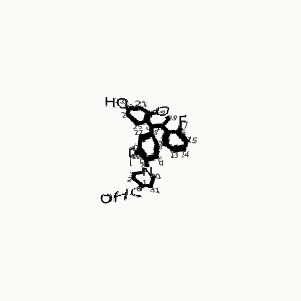 O=CC1CCN(c2ccc(C3=C(c4ccccc4F)COc4cc(O)ccc43)cc2F)CC1